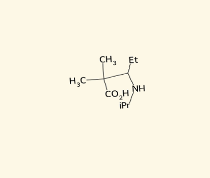 CCC(NC(C)C)C(C)(C)C(=O)O